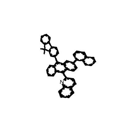 CC1(C)c2ccccc2-c2ccc(-c3c4ccccc4c(-c4ccc5ccccc5n4)c4ccc(-c5cccc6ccccc56)cc34)cc21